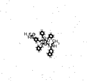 CCCN[C@@H](CCCC(OCc1ccccc1)C(OCc1ccccc1)N(CCc1ccc(NC(C)=O)cc1)C(=O)OCc1ccccc1)C1CCc2ccccc2C1